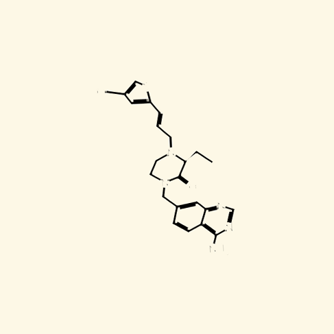 CC[C@H]1C(=O)N(Cc2ccc3c(N)ncnc3c2)CCN1CC=Cc1cc(Cl)cs1